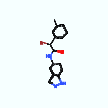 Cc1cccc(C(Br)C(=O)Nc2ccc3[nH]ncc3c2)c1